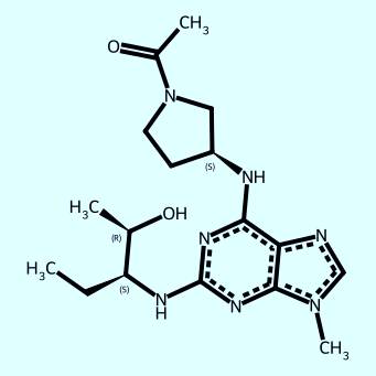 CC[C@H](Nc1nc(N[C@H]2CCN(C(C)=O)C2)c2ncn(C)c2n1)[C@@H](C)O